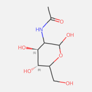 CC(=O)NC1C(O)OC(CO)[C@H](O)[C@H]1O